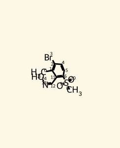 Cc1c(Br)ccc(S(C)(=O)=O)c1/C=N\O